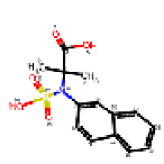 CC(C)(C(=O)O)N(c1ccc2ccccc2c1)S(=O)(=O)O